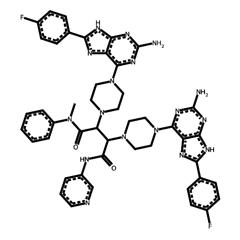 CN(C(=O)C(C(C(=O)Nc1cccnc1)N1CCN(c2nc(N)nc3[nH]c(-c4ccc(F)cc4)nc23)CC1)N1CCN(c2nc(N)nc3[nH]c(-c4ccc(F)cc4)nc23)CC1)c1ccccc1